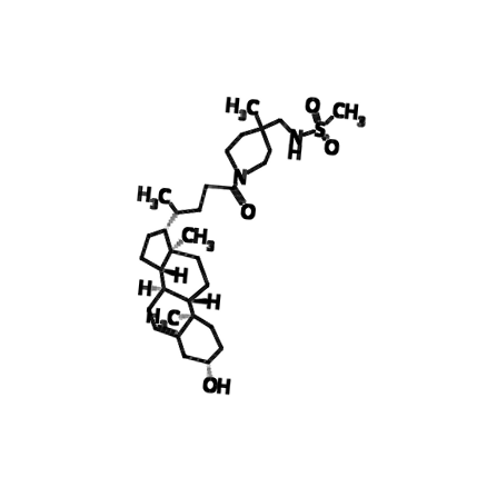 CC(CCC(=O)N1CCC(C)(CNS(C)(=O)=O)CC1)[C@H]1CC[C@H]2[C@@H]3CC=C4C[C@@H](O)CC[C@]4(C)[C@H]3CC[C@]12C